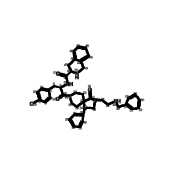 O=C(N[C@H](Cc1ccc(Cl)cc1)C(=O)N1CCC2(CC1)C(=O)N(CCNCc1ccccc1)CN2c1ccccc1)[C@H]1Cc2ccccc2CN1